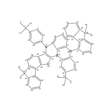 CC(C)(C)c1ccc(N2c3cccc4c3B(c3cc(C(C)(C)C)ccc3N4c3cccc4c3-c3ccccc3C4(C)C)c3oc4c5c(ccc4c32)C(C)(C)c2ccccc2-5)cc1